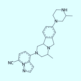 CC1CN(c2ccc3c(c2)CN2C(C)CN(c4ccc(C#N)n5nccc45)CC32)CCN1